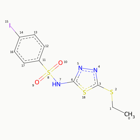 CCSc1nnc(NS(=O)(=O)c2ccc(I)cc2)s1